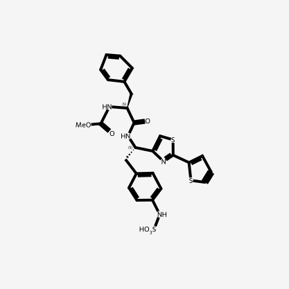 COC(=O)N[C@@H](Cc1ccccc1)C(=O)N[C@@H](Cc1ccc(NS(=O)(=O)O)cc1)c1csc(-c2cc#cs2)n1